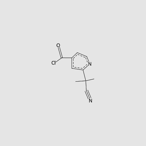 CC(C)(C#N)c1cc(C(=O)Cl)ccn1